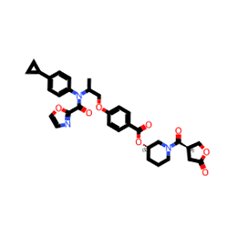 CC(COc1ccc(C(=O)O[C@H]2CCCN(C(=O)[C@H]3COC(=O)C3)C2)cc1)N(C(=O)c1ncco1)c1ccc(C2CC2)cc1